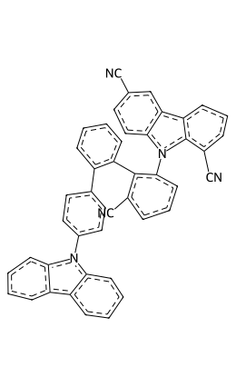 N#Cc1ccc2c(c1)c1cccc(C#N)c1n2-c1cccc(C#N)c1-c1ccccc1-c1ccc(-n2c3ccccc3c3ccccc32)cc1